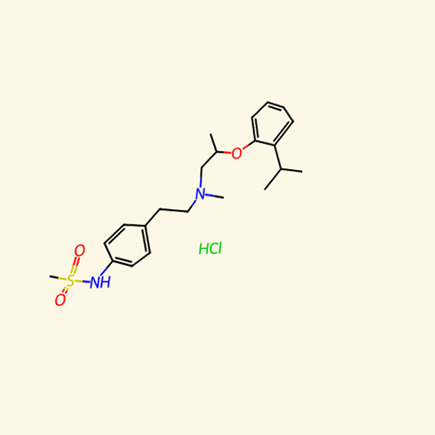 CC(CN(C)CCc1ccc(NS(C)(=O)=O)cc1)Oc1ccccc1C(C)C.Cl